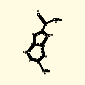 COC(=O)c1cc2ncc(SC)cc2s1